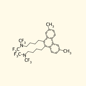 Cc1ccc2c(c1)c(CCCCN(C(F)(F)F)C(F)(F)F)c(CCCCN(C(F)(F)F)C(F)(F)F)c1ccc(C)cc12